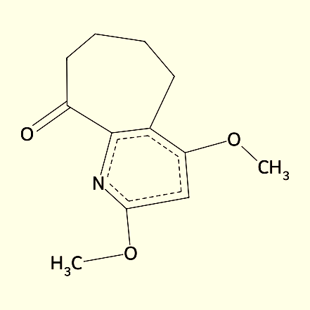 COc1cc(OC)c2c(n1)C(=O)CCCC2